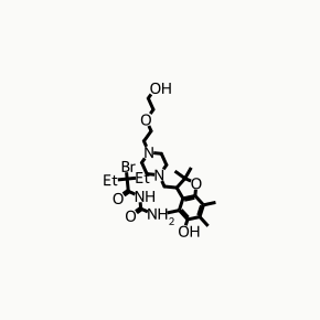 CCC(Br)(CC)C(=O)NC(N)=O.Cc1c(C)c2c(c(C)c1O)C(CN1CCN(CCOCCO)CC1)C(C)(C)O2